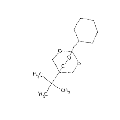 CC(C)(C)C12COC(C3CCCCC3)(OC1)OC2